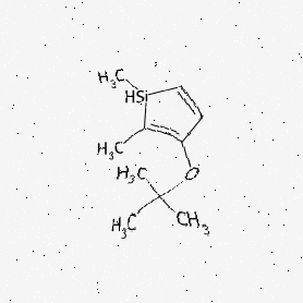 CC1=C(OC(C)(C)C)C=C[SiH]1C